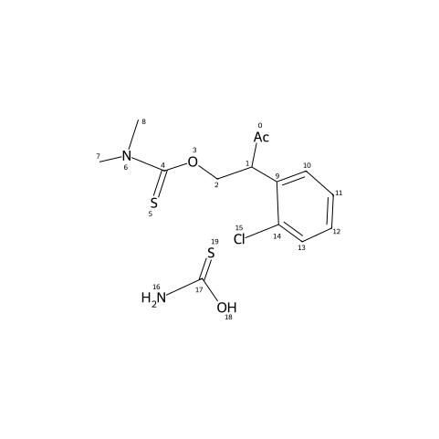 CC(=O)C(COC(=S)N(C)C)c1ccccc1Cl.NC(O)=S